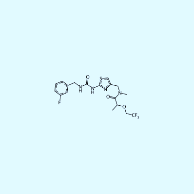 CC(OCC(F)(F)F)C(=O)N(C)Cc1csc(NC(=O)NCc2cccc(F)c2)n1